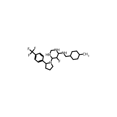 CC1CCC(CNC2NCNC(N3CCCC3c3ccc(C(F)(F)F)cc3)C2F)CC1